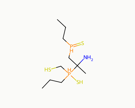 CCC[PH](=S)CC(C)(N)[PH](S)(CS)CCC